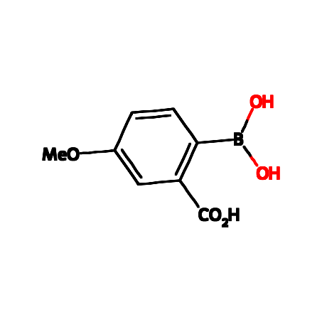 COc1ccc(B(O)O)c(C(=O)O)c1